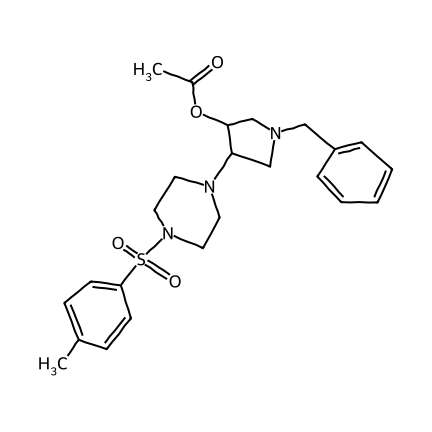 CC(=O)OC1CN(Cc2ccccc2)CC1N1CCN(S(=O)(=O)c2ccc(C)cc2)CC1